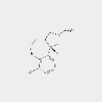 O=C(O)N1CC2CCOc3c(Cl)cccc3[C@H]2C1